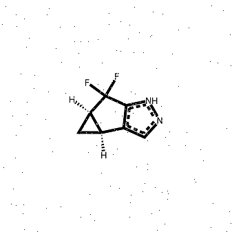 FC1(F)c2[nH]ncc2[C@H]2C[C@H]21